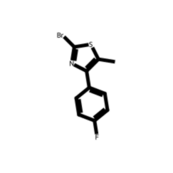 Cc1sc(Br)nc1-c1ccc(F)cc1